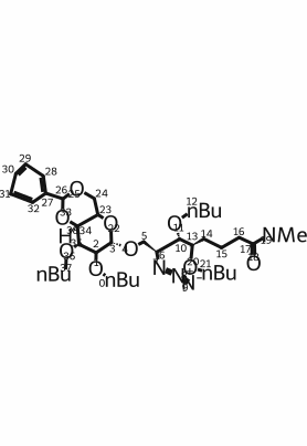 CCCCOC1[C@@H](OC[C@H](N=[N+]=[N-])[C@H](OCCCC)[C@@H](CCCC(=O)NC)OCCCC)OC2COC(c3ccccc3)O[C@@H]2[C@@H]1OCCCC